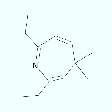 CCC1=CC(C)(C)C=CC(CC)=N1